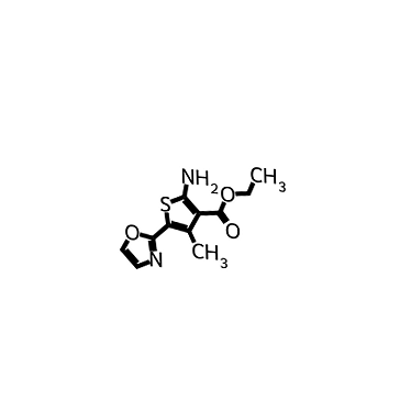 CCOC(=O)c1c(N)sc(-c2ncco2)c1C